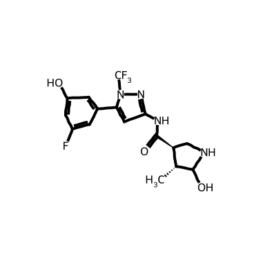 C[C@H]1C(O)NC[C@@H]1C(=O)Nc1cc(-c2cc(O)cc(F)c2)n(C(F)(F)F)n1